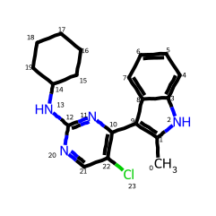 Cc1[nH]c2ccccc2c1-c1nc(NC2CCCCC2)ncc1Cl